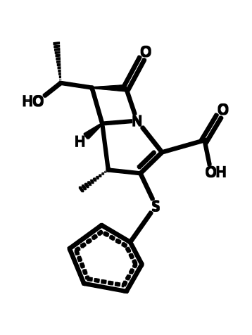 C[C@@H](O)[C@H]1C(=O)N2C(C(=O)O)=C(Sc3ccccc3)[C@H](C)[C@H]12